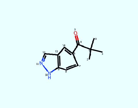 CC(C)(C)C(=O)c1ccc2[nH]ncc2c1